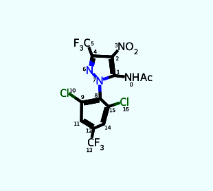 CC(=O)Nc1c([N+](=O)[O-])c(C(F)(F)F)nn1-c1c(Cl)cc(C(F)(F)F)cc1Cl